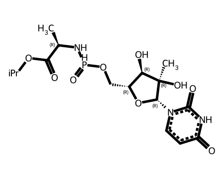 CC(C)OC(=O)[C@@H](C)N[PH](=O)OC[C@H]1O[C@@H](n2ccc(=O)[nH]c2=O)[C@](C)(O)[C@@H]1O